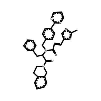 Cc1ncc(C=CC(=O)N(Cc2ccc(-c3ncccn3)cc2)C(Cc2ccccc2)C(=O)N2CCc3ccccc3C2)s1